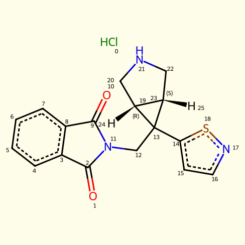 Cl.O=C1c2ccccc2C(=O)N1CC1(c2ccns2)[C@@H]2CNC[C@@H]21